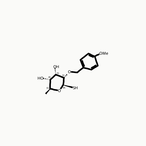 COc1ccc(CO[C@H]2[C@@H](O)[C@@H](O)[C@H](C)O[C@@H]2S)cc1